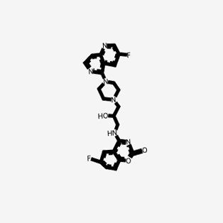 O=c1nc(NCC(O)CN2CCN(c3nccc4ncc(F)cc34)CC2)c2cc(F)ccc2o1